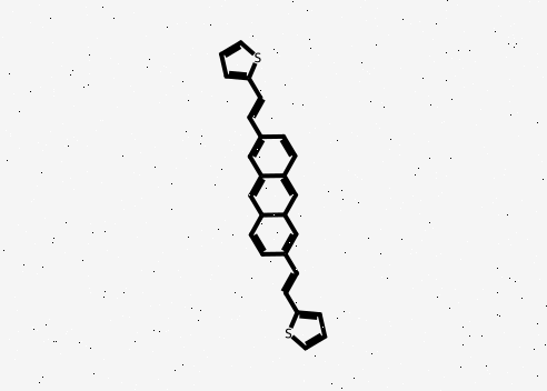 C1=CC2C=c3cc(/C=C/c4cccs4)ccc3=CC2C=C1/C=C/c1cccs1